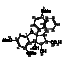 COc1ccc(C23Oc4cc(OC)cc(OC)c4C2(O)C(O)C(C(=O)O)C3c2ccccc2)cc1